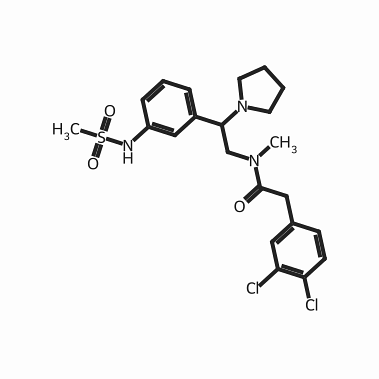 CN(CC(c1cccc(NS(C)(=O)=O)c1)N1CCCC1)C(=O)Cc1ccc(Cl)c(Cl)c1